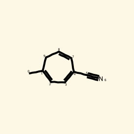 CC1=CC=C(C#N)C=CC1